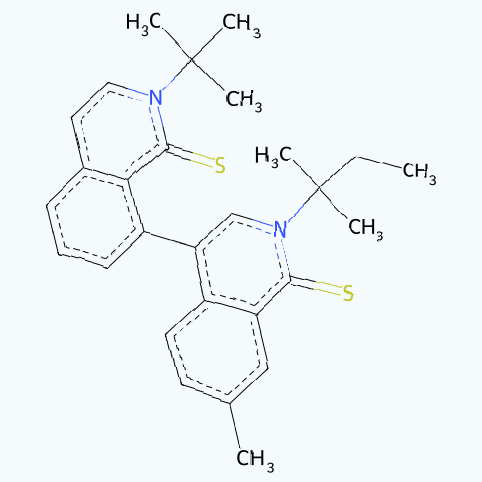 CCC(C)(C)n1cc(-c2cccc3ccn(C(C)(C)C)c(=S)c23)c2ccc(C)cc2c1=S